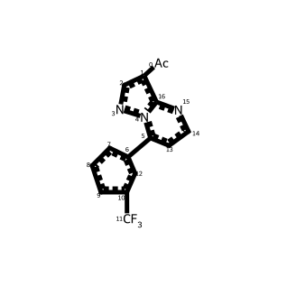 CC(=O)c1cnn2c(-c3cccc(C(F)(F)F)c3)ccnc12